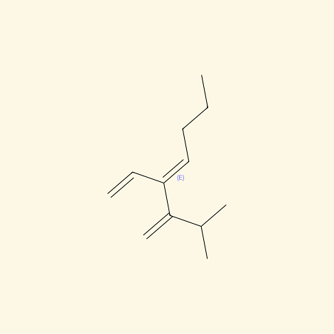 C=C/C(=C\CCC)C(=C)C(C)C